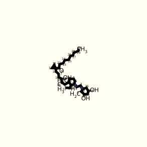 C=C1/C(=C\C=C2/CCC[C@]3(C)[C@@H]([C@H](C)[C@@H](O)CCCC4(C(=O)CCCCCCCCC)CC4)CC[C@@H]23)C[C@@H](O)C[C@@H]1O